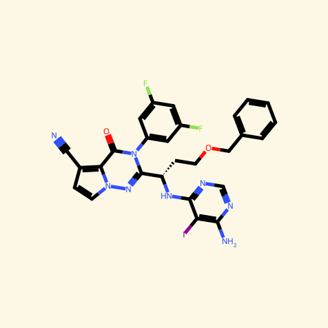 N#Cc1ccn2nc([C@H](CCOCc3ccccc3)Nc3ncnc(N)c3I)n(-c3cc(F)cc(F)c3)c(=O)c12